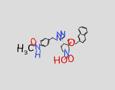 CC(=O)Nc1ccc(CCn2nncc2[C@H]2CCN(C(=O)O)C[C@@H]2OCc2ccc3ccccc3c2)cc1